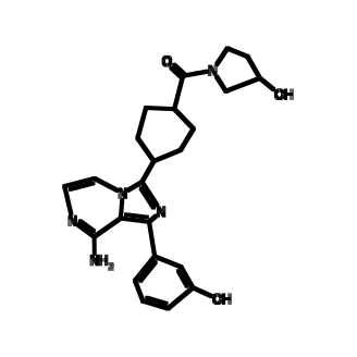 Nc1nccn2c(C3CCC(C(=O)N4CCC(O)C4)CC3)nc(-c3cccc(O)c3)c12